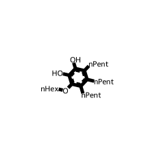 CCCCCCOc1c(O)c(O)c(CCCCC)c(CCCCC)c1CCCCC